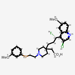 COc1cccc(SCCN2CCC(CC[C@H](F)c3c(Cl)cnc4ccc(OC)cc34)(CC(=O)O)CC2)c1